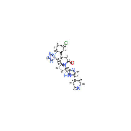 O=c1cc(-c2cc(Cl)ccc2-n2cnnn2)cc2n1[C@H](c1ncc(-c3ccncc3)[nH]1)CC2